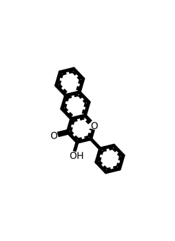 O=c1c(O)c(-c2ccccc2)oc2cc3ccccc3cc12